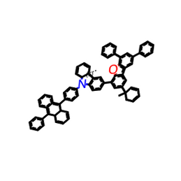 CC1(c2cc(-c3ccc4c(c3)[C@]3(C)C=CC=CC3N4c3ccc(C4=c5ccccc5=C(c5ccccc5)C5C=CC=CC45)cc3)c3oc4c(-c5ccccc5)cc(-c5ccccc5)cc4c3c2)C=CC=CC1